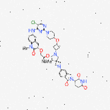 CNC(=O)COc1cc2cc(Nc3nc(N4CCC(OC5CC(N6CCC7(CN(c8ccc9c(c8)CN([C@@H]8CCC(=O)NC8=O)C9=O)C7)C6)C5)CC4)ncc3Cl)ccc2n(C(C)C)c1=O